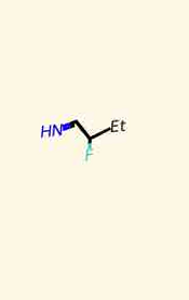 [CH2]CC(F)C=N